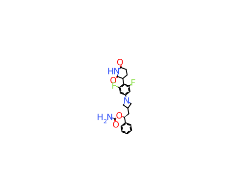 NC(=O)O[C@@H](CC1CN(c2cc(F)c(C3CCC(=O)NC3=O)c(F)c2)C1)c1ccccc1